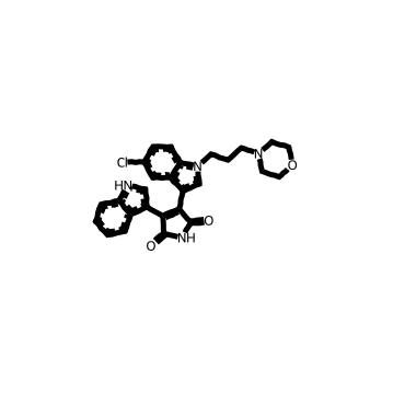 O=C1NC(=O)C(c2cn(CCCN3CCOCC3)c3ccc(Cl)cc23)=C1c1c[nH]c2ccccc12